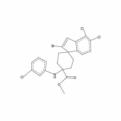 COC(=O)C1(Nc2cccc(Cl)c2)CCC2(CC1)C(Br)=Cc1c2ccc(Cl)c1Cl